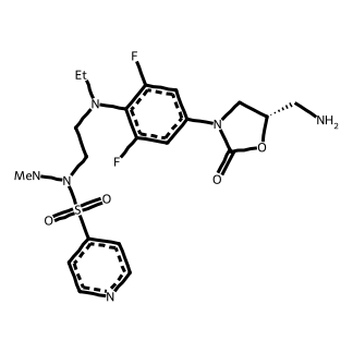 CCN(CCN(NC)S(=O)(=O)c1ccncc1)c1c(F)cc(N2C[C@H](CN)OC2=O)cc1F